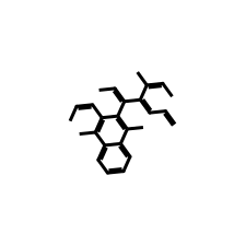 C=C/C=C(C(\C)=C/C)/C(=C/C)c1c(/C=C\C)c(C)c2ccccc2c1C